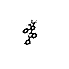 CC(c1ccccc1)c1ccccc1C(=O)c1ccc2c(c1-c1ccccc1)C(=O)NC2=O